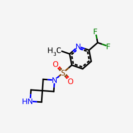 Cc1nc(C(F)F)ccc1S(=O)(=O)N1CC2(CNC2)C1